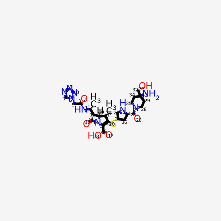 C[C@@H](NC(=O)Cn1cnnn1)[C@H]1C(=O)N2C(C(=O)O)=C(S[C@@H]3CN[C@H](C(=O)N4CCC(N)(CO)CC4)C3)[C@H](C)[C@H]12